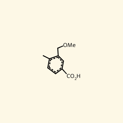 COCc1cc(C(=O)O)ccc1C